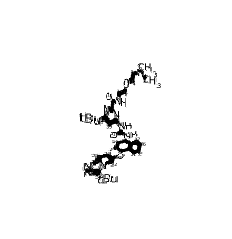 CN(C)CCOCCNC(=O)c1nc(NC(=O)N[C@H]2CC[C@@H](Oc3ccc4nnc(C(C)(C)C)n4c3)c3ccccc32)cc(C(C)(C)C)n1